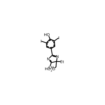 CCC1(CC(=O)O)N=C(c2cc(I)c(O)c(I)c2)N=C1C